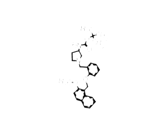 COc1ccc2ccccc2c1COc1ccccc1CN1CCC(NC(=O)OC(C)(C)C)C1